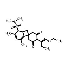 CCON=C(CC)C1C(=O)CC2(CC1=O)CC1C2=C(C)C=C(C)C1S(=O)(=O)N(C)C